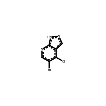 Clc1c(Br)cnc2[nH]ncc12